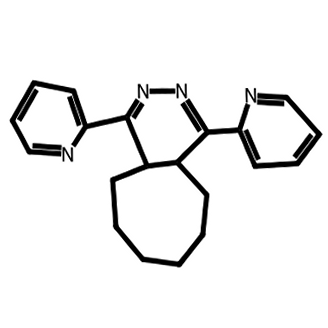 c1ccc(C2=NN=C(c3ccccn3)C3CCCCCCC23)nc1